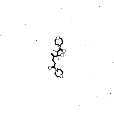 C=C(CCC(=O)N1CCOCC1)[C@](C)(Cl)[C@@H](C)C(=O)N1CCOCC1